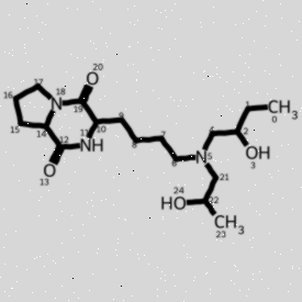 CCC(O)CN(CCCCC1NC(=O)C2CCCN2C1=O)CC(C)O